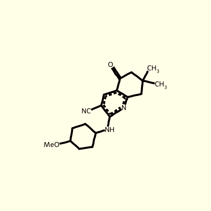 COC1CCC(Nc2nc3c(cc2C#N)C(=O)CC(C)(C)C3)CC1